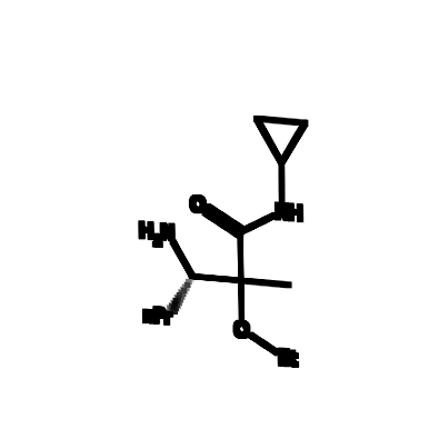 CCC[C@H](N)C(C)(OCC)C(=O)NC1CC1